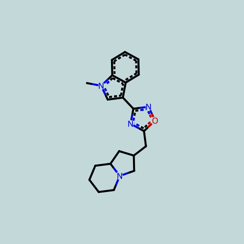 Cn1cc(-c2noc(CC3CC4CCCCN4C3)n2)c2ccccc21